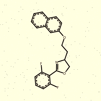 Fc1cccc(F)c1C1=NC(CCOc2ccc3ccccc3c2)CO1